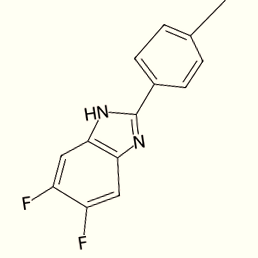 Cc1ccc(-c2nc3cc(F)c(F)cc3[nH]2)cc1